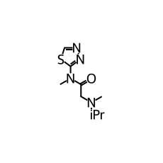 CC(C)N(C)CC(=O)N(C)c1nncs1